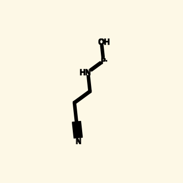 N#CCCN[P]O